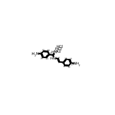 Cl.Cl.Cl.N=C(NC=Cc1ccc(N)cc1)c1ccc(N)cc1